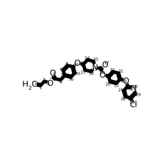 C=CCOC(=O)Cc1ccc(OC2CCN(C(=O)Oc3ccc(Oc4ccc(Cl)cn4)cc3)CC2)cc1